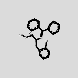 CC(C)(C)OC(=O)C(Cc1ccccc1Cl)N=C(c1ccccc1)c1ccccc1